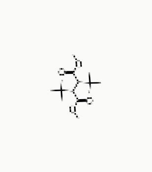 COC(=O)C(C(C(=O)OC)C(C)(C)C)C(C)(C)C